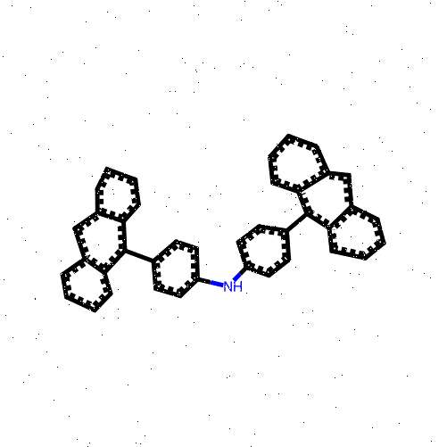 c1ccc2c(-c3ccc(Nc4ccc(-c5c6ccccc6cc6ccccc56)cc4)cc3)c3ccccc3cc2c1